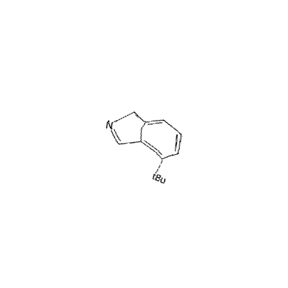 CC(C)(C)c1cccc2c1C=NC2